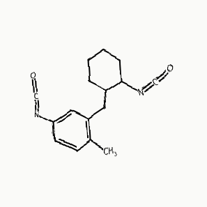 Cc1ccc(N=C=O)cc1CC1CCCCC1N=C=O